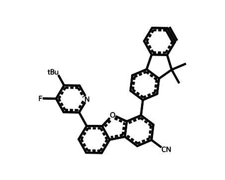 CC(C)(C)c1cnc(-c2cccc3c2oc2c(-c4ccc5c(c4)C(C)(C)c4c#cccc4-5)cc(C#N)cc23)cc1F